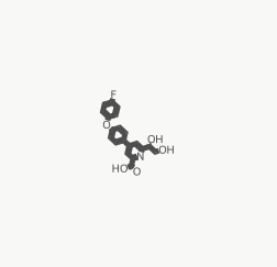 O=C(O)c1cc(-c2ccc(Oc3ccc(F)cc3)cc2)cc([C@H](O)CO)n1